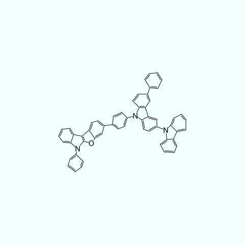 c1ccc(-c2ccc3c(c2)c2cc(-n4c5ccccc5c5ccccc54)ccc2n3-c2ccc(-c3ccc4c(c3)oc3c4c4ccccc4n3-c3ccccc3)cc2)cc1